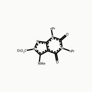 CCCn1c(=O)c2c(NC)n(C(=O)OCC)nc2n(CCC)c1=O